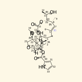 C=C(C[C@H]1C/C(C)=C/[C@@H](C)[C@@H]([C@@H](C)O)OC(=O)[C@@H](OC)C1)[C@@H]1[C@@H]2CO[C@H]1[C@H](OC(=O)c1ccc[nH]1)[C@H](C)[C@H]2O